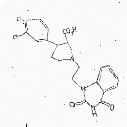 O=C(O)C1CN(CCn2c(=O)[nH]c(=O)c3ccccc32)CCC1c1ccc(Cl)c(Cl)c1